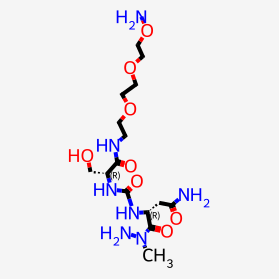 CN(N)C(=O)[C@@H](CC(N)=O)NC(=O)N[C@H](CO)C(=O)NCCOCCOCCON